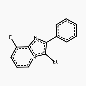 CCc1c(-c2ccccc2)nc2c(F)cccn12